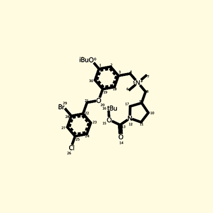 CC(C)COc1cc(C[N+](C)(C)CC2CCN(C(=O)OC(C)(C)C)C2)cc(OCc2ccc(Cl)cc2Br)c1